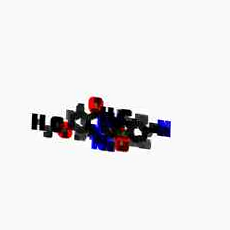 COc1ccc2c(=O)[nH]c3c(S(=O)(=O)c4ccc(C#N)cc4C)nnn3c2c1